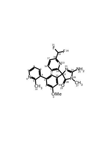 COc1cc(-c2cccnc2C)cc(C2(c3cccc(C(F)F)n3)N=C(N)N(C)C2=O)c1